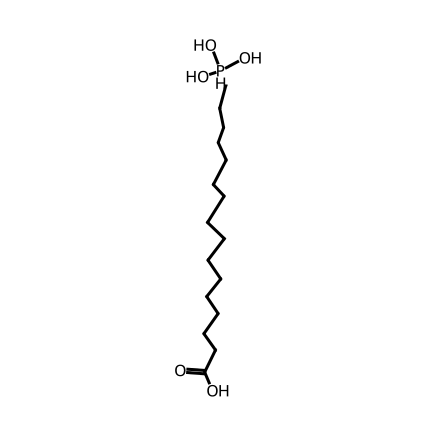 O=C(O)CCCCCCCCCCCCCCC[PH](O)(O)O